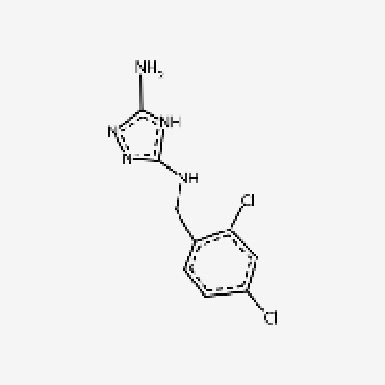 Nc1nnc(NCc2ccc(Cl)cc2Cl)[nH]1